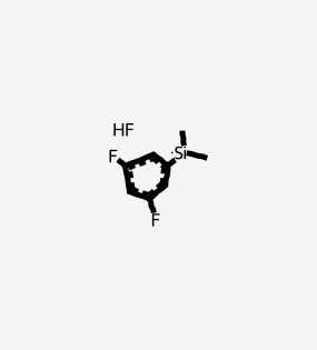 C[Si](C)c1cc(F)cc(F)c1.F